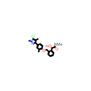 CNC(=O)C(O)c1ccccc1COc1ccc(-c2nn(C)c(Cl)c2C)cc1C